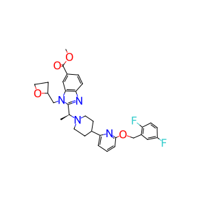 COC(=O)c1ccc2nc([C@H](C)N3CCC(c4cccc(OCc5cc(F)ccc5F)n4)CC3)n(CC3CCO3)c2c1